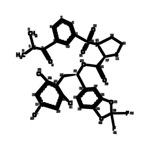 CN(C)C(=O)c1cccc(S(=O)(=O)N2CCS[C@H]2C(=O)O[C@@H](Cc2c(Cl)c[n+]([O-])cc2Cl)c2ccc3c(c2)OC(F)(F)O3)c1